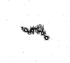 CCCCC(NC(=O)C1=C(C)N=C(c2ccccc2)C1)C(=O)Nc1ccc(OC2CCN(C)CC2)nc1